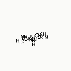 Cc1c(C#N)ccc2c1CCCN2c1n[nH]c2nc(N3CCC(C)(CN)CC3)cnc12